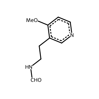 COc1ccncc1CCNC=O